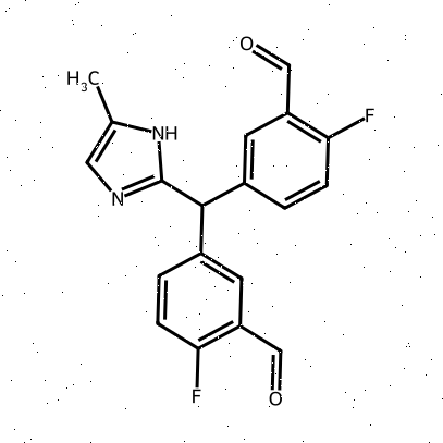 Cc1cnc(C(c2ccc(F)c(C=O)c2)c2ccc(F)c(C=O)c2)[nH]1